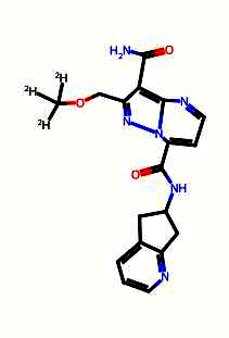 [2H]C([2H])([2H])OCc1nn2c(C(=O)NC3Cc4cccnc4C3)ccnc2c1C(N)=O